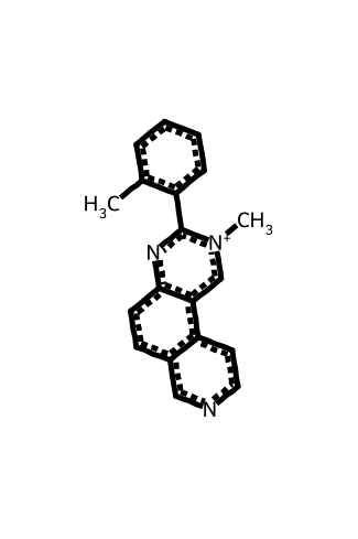 Cc1ccccc1-c1nc2ccc3cnccc3c2c[n+]1C